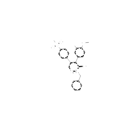 COc1ccc(-c2c(-c3ccc(S(C)(=O)=O)cc3)cnn(Cc3ccccc3)c2=O)cc1F